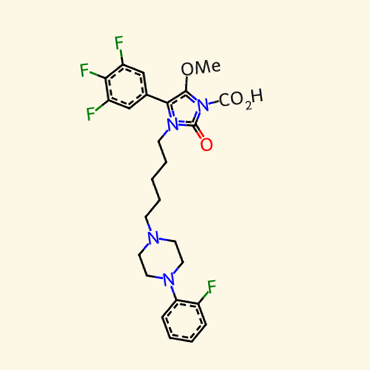 COc1c(-c2cc(F)c(F)c(F)c2)n(CCCCCN2CCN(c3ccccc3F)CC2)c(=O)n1C(=O)O